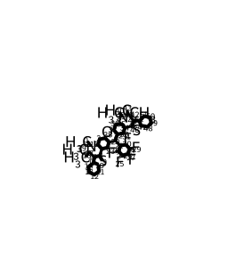 CN1c2cc3c(cc2-c2sc4ccccc4c2C1(C)C)C(c1c(F)c(F)c(F)c(F)c1F)=c1cc2c(cc1O3)=[N+](C)C(C)(C)c1c-2sc2ccccc12